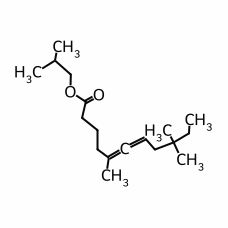 CCC(C)(C)CC=C=C(C)CCCC(=O)OCC(C)C